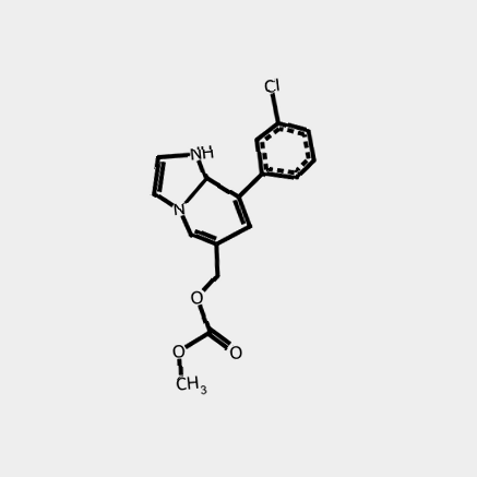 COC(=O)OCC1=CN2C=CNC2C(c2cccc(Cl)c2)=C1